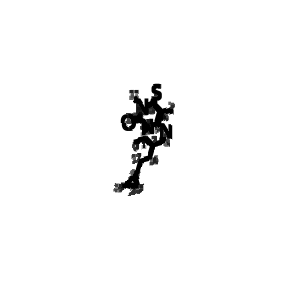 CCC(/C=N\c1c(C)c(=S)n(C)c(=O)n1C)CCC1CC1